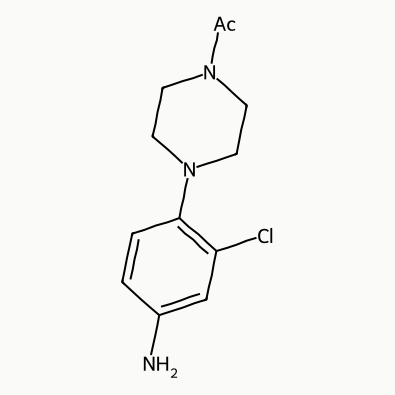 CC(=O)N1CCN(c2ccc(N)cc2Cl)CC1